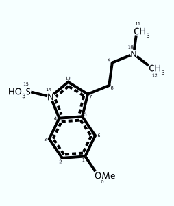 COc1ccc2c(c1)c(CCN(C)C)cn2S(=O)(=O)O